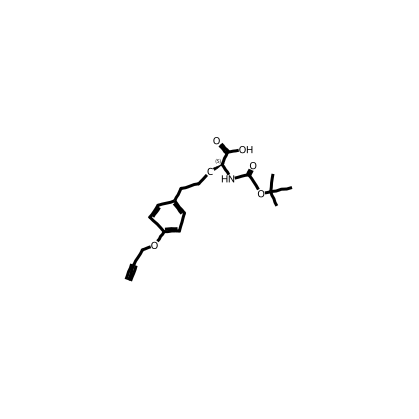 C#CCOc1ccc(CCC[C@H](NC(=O)OC(C)(C)C)C(=O)O)cc1